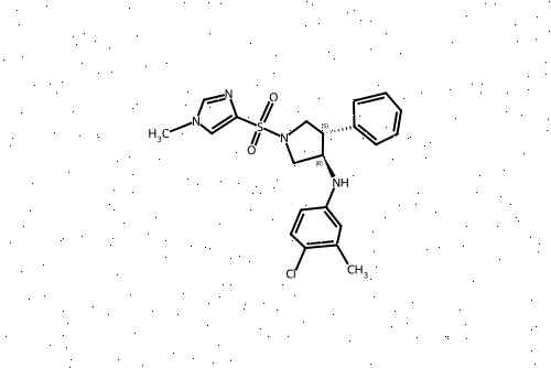 Cc1cc(N[C@H]2CN(S(=O)(=O)c3cn(C)cn3)C[C@@H]2c2ccccc2)ccc1Cl